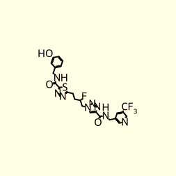 O=C(NCc1cncc(C(F)(F)F)c1)c1cn(CC(F)CCc2nnc(C(=O)NCc3cccc(O)c3)s2)nn1